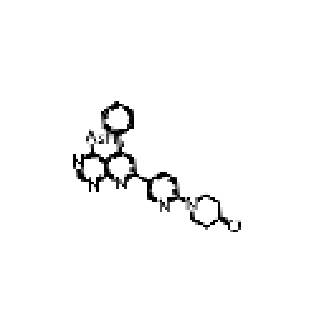 O=C1CCN(c2ccc(-c3cc(-c4ccccc4)c4c([AsH2])ncnc4n3)cn2)CC1